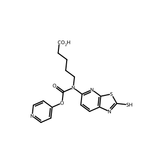 O=C(O)CCCCN(C(=O)Oc1ccncc1)c1ccc2nc(S)sc2n1